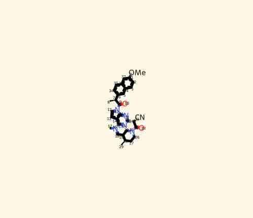 COc1ccc2cc([C@H](C)C(=O)n3ccc4c(/[N+](C)=C\C5CN(C(=O)CC#N)CC[C@H]5C)ncnc43)ccc2c1